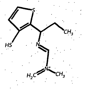 C=[N+](C)C=NC(CC)c1sccc1S